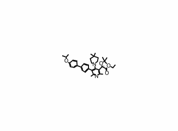 CCOC(=O)[C@@H](OC(C)(C)C)c1c(C)nc(C)c(-c2ccc(-c3ccc(OC(C)C)cc3)cc2)c1N1CCC(C)(C)CC1